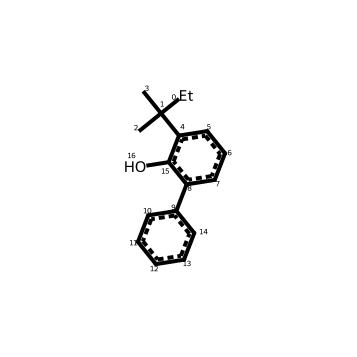 CCC(C)(C)c1cccc(-c2ccccc2)c1O